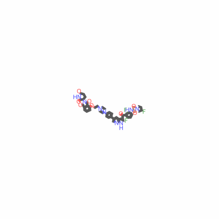 O=C1CCC(N2C(=O)c3cccc(OCCN4CCN(c5ccc(-c6cnc7[nH]cc(C(=O)c8c(F)ccc(NS(=O)(=O)N9CC[C@@H](F)C9)c8F)c7c6)cc5)CC4)c3C2=O)C(=O)N1